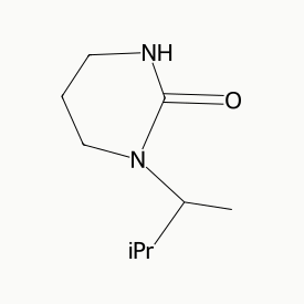 CC(C)C(C)N1CCCNC1=O